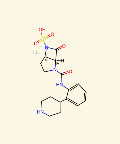 O=C(Nc1ccccc1C1CCNCC1)N1CC[C@@H]2[C@H]1C(=O)N2S(=O)(=O)O